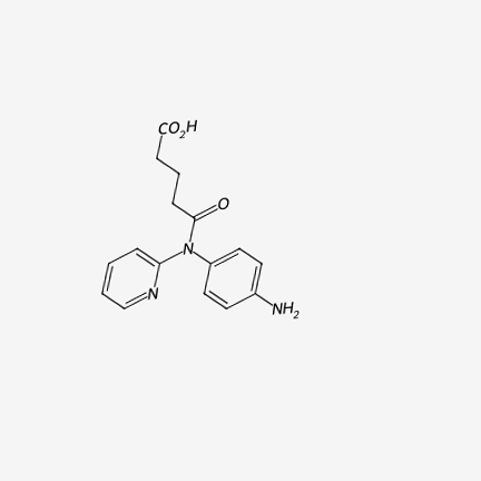 Nc1ccc(N(C(=O)CCCC(=O)O)c2ccccn2)cc1